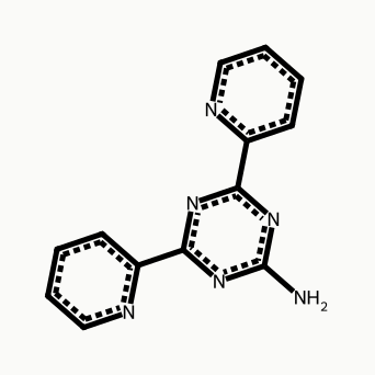 Nc1nc(-c2ccccn2)nc(-c2ccccn2)n1